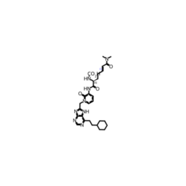 CN(C)C(=O)/C=C/CC[C@H](NC(=O)O)C(=O)Nc1cccn(Cc2nc3ncnc(CCC4CCCCC4)c3[nH]2)c1=O